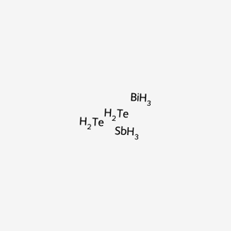 [BiH3].[SbH3].[TeH2].[TeH2]